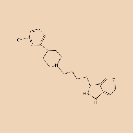 Clc1cccc(C2CCN(CCCCN3NNc4ccccc43)CC2)c1